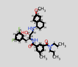 CCCN(CCC)C(=O)c1cc(C)cc(C(=O)N[C@@H](Cc2cc(F)cc(F)c2)[C@H](O)CN[C@@H]2CCCc3cc(OC)ccc32)c1